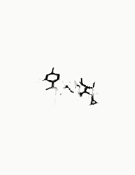 Cc1ccc(C(C)NC(=O)Cn2nc(C)c3c(C)nn(C4CC4)c3c2=O)c(F)c1